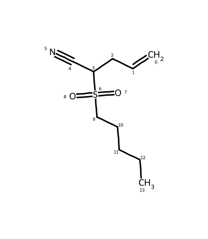 C=CCC(C#N)S(=O)(=O)CCCCC